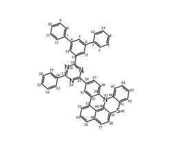 c1ccc(-c2cc(-c3ccccc3)cc(-c3nc(-c4ccccc4)nc(-c4ccc5c(c4)c4cccc6ccc7sc8ccccc8n5-c7c64)n3)c2)cc1